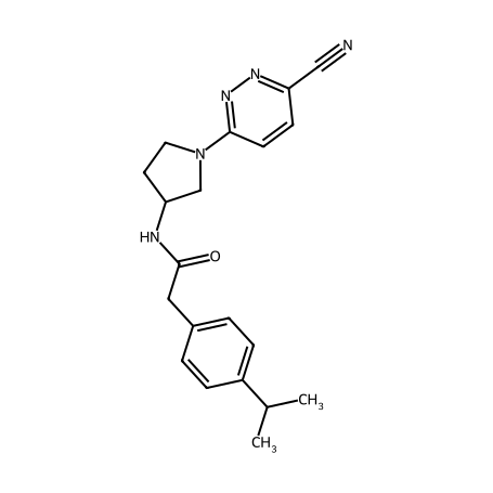 CC(C)c1ccc(CC(=O)NC2CCN(c3ccc(C#N)nn3)C2)cc1